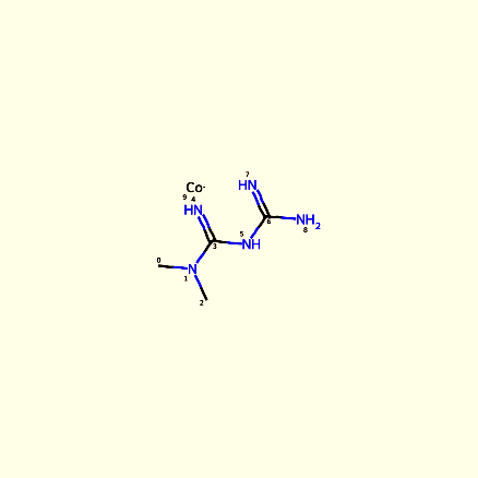 CN(C)C(=N)NC(=N)N.[Co]